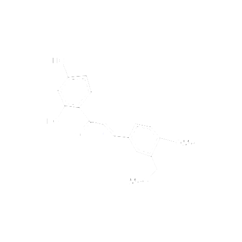 COCc1cc(/C=C/C(=O)c2ccc(O)cc2O)ccc1OC